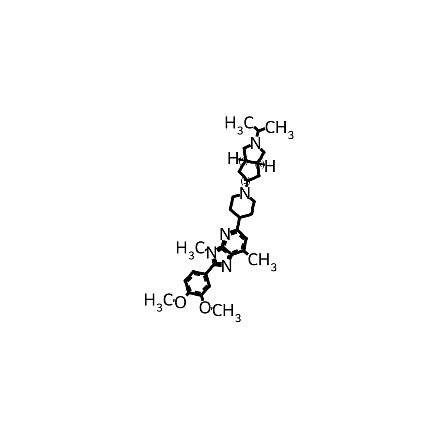 COc1ccc(-c2nc3c(C)cc(C4CCN([C@H]5C[C@@H]6CN(C(C)C)C[C@@H]6C5)CC4)nc3n2C)cc1OC